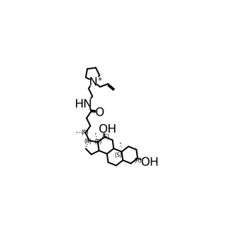 C=CC[N+]1(CCNC(=O)CC[C@@H](C)[C@H]2CCC3C4CCC5C[C@H](O)CC[C@]5(C)C4C[C@H](O)[C@@]32C)CCCC1